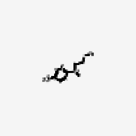 CCOCCN(C)c1ccc([N+](=O)[O-])cn1